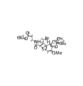 COc1cc2sc(C(=O)NCCC(=O)OC(C)(C)C)c(CBr)c2cc1O[Si](C)(C)C(C)(C)C